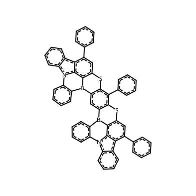 c1ccc(-c2c3c(cc4c2Sc2cc(-c5ccccc5)c5c6ccccc6n6c5c2B4c2ccccc2-6)B2c4ccccc4-n4c5ccccc5c5c(-c6ccccc6)cc(c2c54)S3)cc1